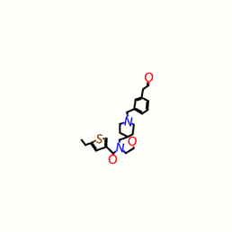 CCc1cc(C(=O)N2CCOC3(CCN(Cc4cccc(CC=O)c4)CC3)C2)cs1